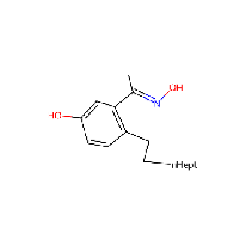 CCCCCCCCCc1ccc(O)cc1C(C)=NO